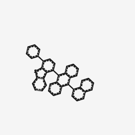 c1ccc(-c2ccc(-c3c4ccccc4c(-c4cccc5ccccc45)c4ccccc34)c3c2sc2ccccc23)cc1